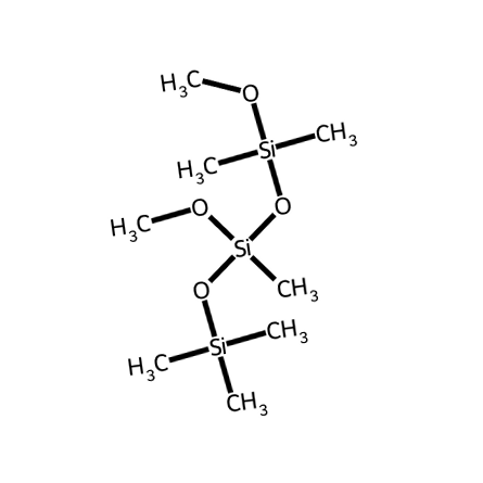 CO[Si](C)(C)O[Si](C)(OC)O[Si](C)(C)C